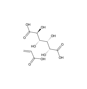 C=CC(=O)O.O=C(O)[C@@H](O)[C@@H](O)[C@H](O)[C@@H](O)C(=O)O